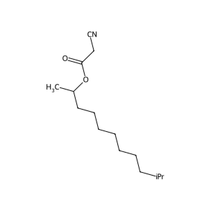 CC(C)CCCCCCCC(C)OC(=O)CC#N